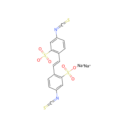 O=S(=O)([O-])c1cc(N=C=S)ccc1C=Cc1ccc(N=C=S)cc1S(=O)(=O)[O-].[Na+].[Na+]